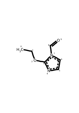 CCOc1nccn1C=O